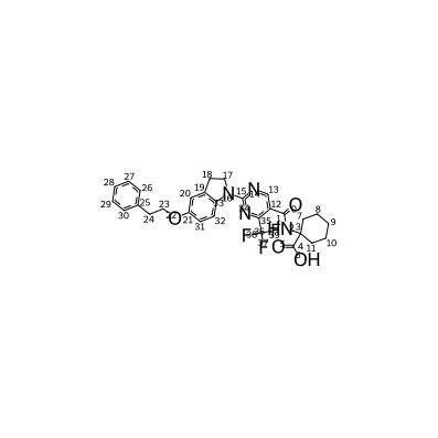 O=C(NC1(C(=O)O)CCCCC1)c1cnc(N2CCc3cc(OCCc4ccccc4)ccc32)nc1C(F)(F)F